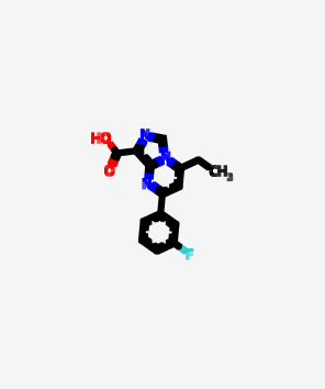 CCc1cc(-c2cccc(F)c2)nc2c(C(=O)O)ncn12